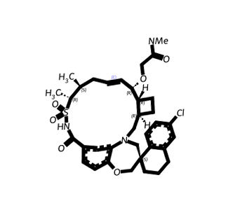 CNC(=O)CO[C@H]1/C=C/C[C@H](C)[C@@H](C)S(=O)(=O)NC(=O)c2ccc3c(c2)N(C[C@@H]2CC[C@H]21)C[C@@]1(CCCc2cc(Cl)ccc21)CO3